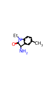 CCN1C(=O)C(N)c2cc(C)ccc21